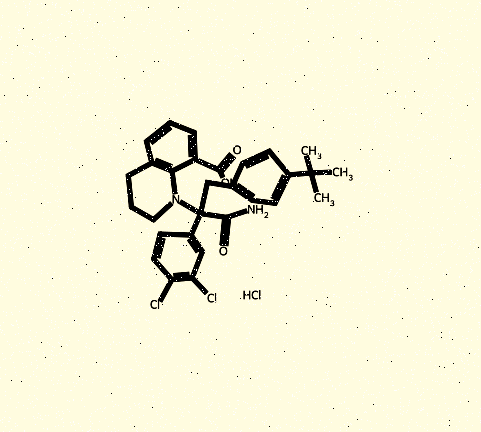 CC(C)(C)c1ccc(CC(C(N)=O)(c2ccc(Cl)c(Cl)c2)N2CCCc3cccc(C(=O)O)c32)cc1.Cl